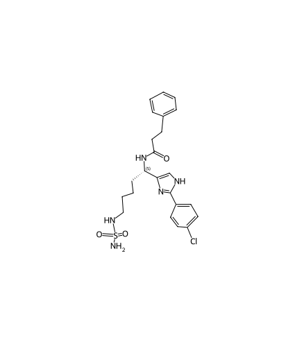 NS(=O)(=O)NCCCC[C@H](NC(=O)CCc1ccccc1)c1c[nH]c(-c2ccc(Cl)cc2)n1